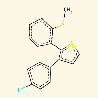 CSc1ccccc1-c1sccc1-c1ccc(F)cc1